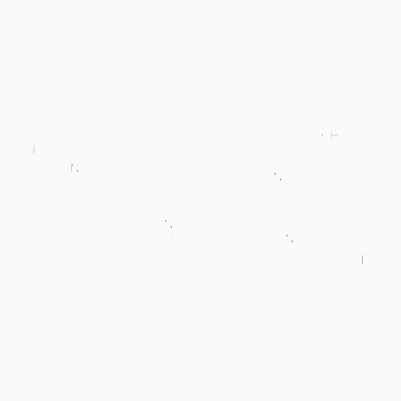 Cc1cc(C)n2ccc(C(=O)NC3CCN(C(C)C)CC3)c2n1